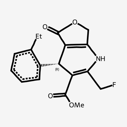 CCc1ccccc1[C@H]1C(C(=O)OC)=C(CF)NC2=C1C(=O)OC2